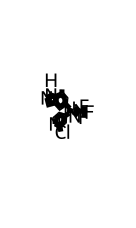 Cc1cc(-n2cc(C(F)(F)F)nc2-c2ccnc(Cl)c2)cc2cn[nH]c12